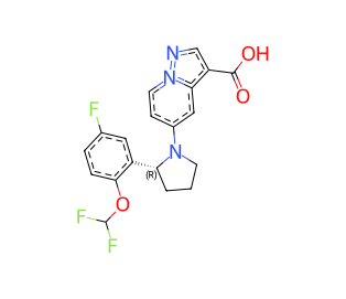 O=C(O)c1cnn2ccc(N3CCC[C@@H]3c3cc(F)ccc3OC(F)F)cc12